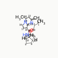 CCCCO[C@@H]1C[C@H]2CC[C@@H](C1)[C@@H]2NC(=O)c1ccn2c(C)cc(C)nc12